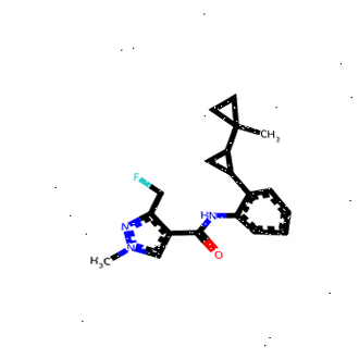 Cn1cc(C(=O)Nc2ccccc2C2CC2C2(C)CC2)c(CF)n1